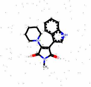 CN1C(=O)C(c2c[nH]c3ccccc23)=C(N2CCCCC2)C1=O